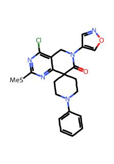 CSc1nc(Cl)c2c(n1)C1(CCN(c3ccccc3)CC1)C(=O)N(c1cnoc1)C2